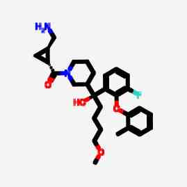 COCCCC[C@@](O)(c1cccc(F)c1Oc1ccccc1C)C1CCCN(C(=O)[C@@H]2C[C@H]2CN)C1